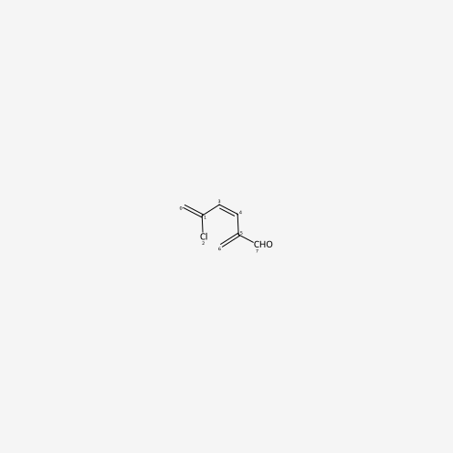 C=C(Cl)/C=C\C(=C)C=O